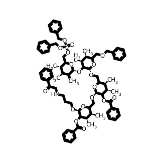 CC1[C@@H](OC2[C@@H](OCC3O[C@H](OCC4O[C@H](OCCCNCC(=O)c5ccccc5)C(OC(=O)c5ccccc5)[C@@H](C)[C@@H]4C)C(OC(=O)c4ccccc4)[C@@H](C)[C@@H]3C)OC(COCc3ccccc3)[C@@H](C)[C@@H]2C)OC(COP(=O)(OCc2ccccc2)OCc2ccccc2)[C@@H](C)[C@@H]1C